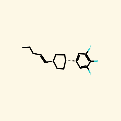 CCC/C=C/[C@H]1CC[C@H](c2cc(F)c(F)c(F)c2)CC1